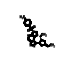 C/C=C1\C[C@@H](CC)[C@@H](c2nnc3cnc4c(ccn4S(=O)(=O)c4ccc(C)cc4)n23)C1